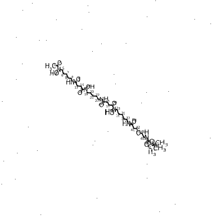 CC(=O)N(O)CCCCCNC(=O)CCC(=O)N(O)CCCCCNC(=O)CCC(=O)N(O)CCCCCNC(=O)CCOCCNC(=O)OC(C)(C)C